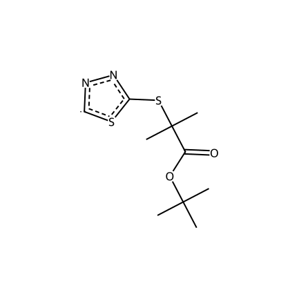 CC(C)(C)OC(=O)C(C)(C)Sc1nn[c]s1